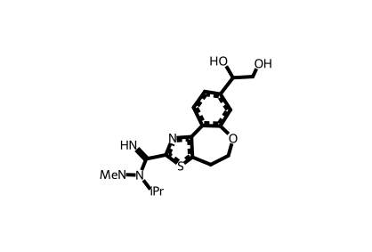 CNN(C(=N)c1nc2c(s1)CCOc1cc(C(O)CO)ccc1-2)C(C)C